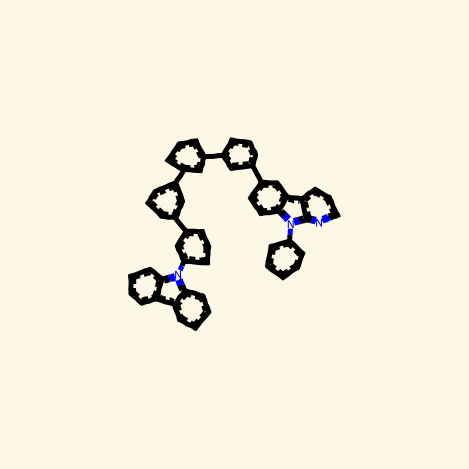 c1ccc(-n2c3ccc(-c4cccc(-c5cccc(-c6cccc(-c7cccc(-n8c9ccccc9c9ccccc98)c7)c6)c5)c4)cc3c3cccnc32)cc1